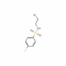 O=S(=O)(NCCBr)c1ccc(F)cc1